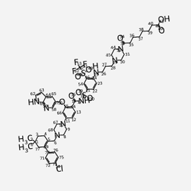 CC1(C)CCC(CN2CCN(c3ccc(C(=O)NS(=O)(=O)c4ccc(NCCCN5CCN(C(=O)CCCCCCC(=O)O)CC5)c(S(=O)(=O)C(F)(F)F)c4)c(Oc4cnc5[nH]ccc5c4)c3)CC2)=C(c2ccc(Cl)cc2)C1